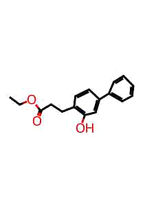 CCOC(=O)CCc1ccc(-c2ccccc2)cc1O